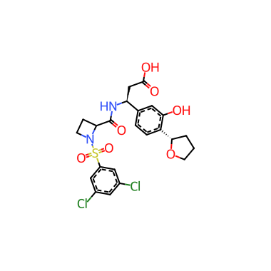 O=C(O)C[C@H](NC(=O)C1CCN1S(=O)(=O)c1cc(Cl)cc(Cl)c1)c1ccc([C@@H]2CCCO2)c(O)c1